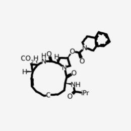 CC(C)C(=O)N[C@H]1CCCCCC=C[C@@H]2C[C@@]2(C(=O)O)NC(=O)[C@@H]2C[C@@H](OC(=O)N3CCc4ccccc4C3)CN2C1=O